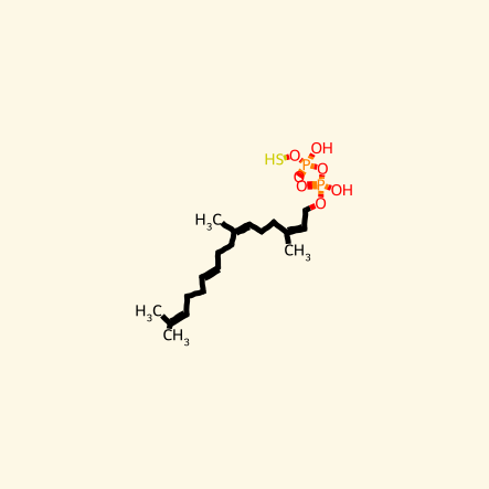 CC(C)=CCCC=CCC/C(C)=C\CC/C(C)=C\COP(=O)(O)OP(=O)(O)OS